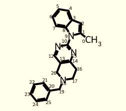 Cc1cc2ccccc2n1-c1ncc2c(n1)CCN(Cc1ccccc1)C2